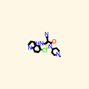 CN1CCC(n2sc(Nc3c(Cl)ccc4ncccc34)c(C#N)c2=O)CC1